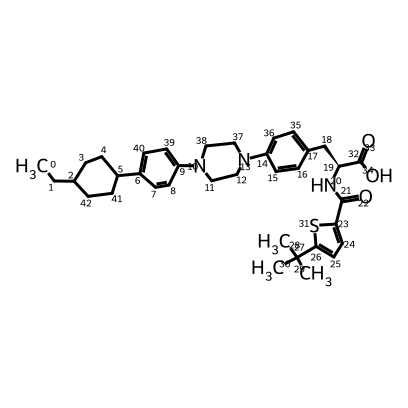 CCC1CCC(c2ccc(N3CCN(c4ccc(C[C@H](NC(=O)c5ccc(C(C)(C)C)s5)C(=O)O)cc4)CC3)cc2)CC1